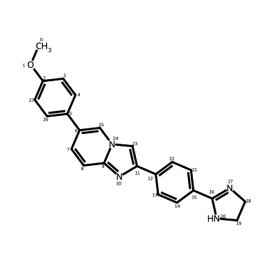 COc1ccc(-c2ccc3nc(-c4ccc(C5=NCCN5)cc4)cn3c2)cc1